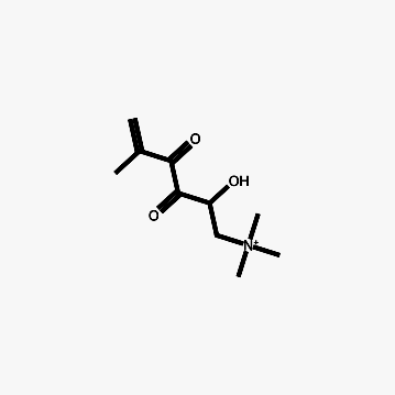 C=C(C)C(=O)C(=O)C(O)C[N+](C)(C)C